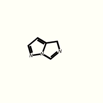 C1=NCc2ccnn21